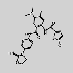 Cc1cc(NC(=O)c2ccc(Cl)s2)c(C(=O)Nc2ccc(N3CCOC3=N)cc2)cc1N(C)C